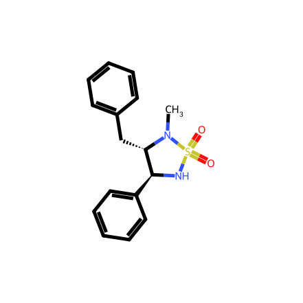 CN1[C@@H](Cc2ccccc2)[C@H](c2ccccc2)NS1(=O)=O